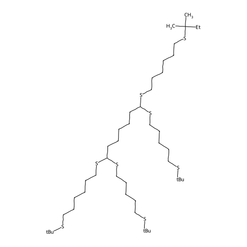 CCC(C)(C)SCCCCCCSC(CCCCCC(SCCCCCCSC(C)(C)C)SCCCCCSC(C)(C)C)SCCCCCSC(C)(C)C